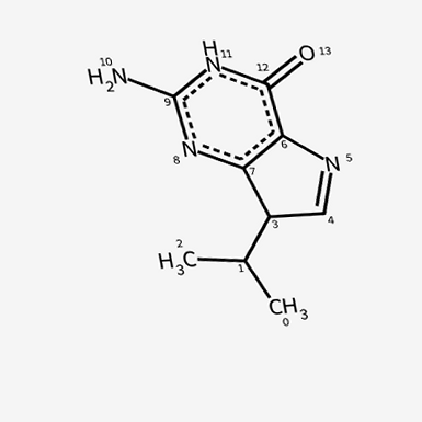 CC(C)C1C=Nc2c1nc(N)[nH]c2=O